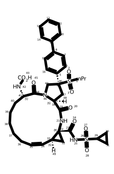 CCCS(=O)(=O)[C@@]1(c2ccc(-c3ccccc3)cc2)C[C@H]2C(=O)N[C@]3(C(=O)NS(=O)(=O)C4CC4)C[C@H]3C=CCCCCC[C@H](NC(=O)O)C(=O)N2C1